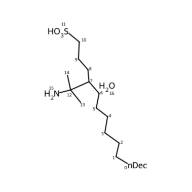 CCCCCCCCCCCCCCCCC(CCCS(=O)(=O)O)C(C)(C)N.O